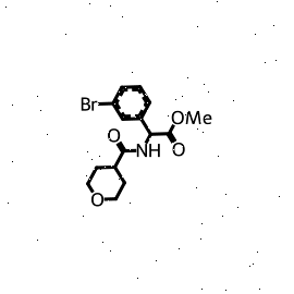 COC(=O)C(NC(=O)C1CCOCC1)c1cccc(Br)c1